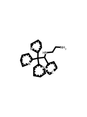 NCCNC(c1ccccn1)C(c1ccccn1)(c1ccccn1)c1ccccn1